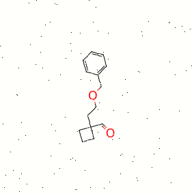 O=CC1(CCOCc2ccccc2)CCC1